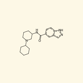 O=C(NC1CCCN(C2CCCCC2)C1)c1ccc2[nH]ncc2c1